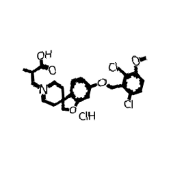 COc1ccc(Cl)c(COc2ccc3c(c2)OCC32CCN(CC(C)C(=O)O)CC2)c1Cl.Cl